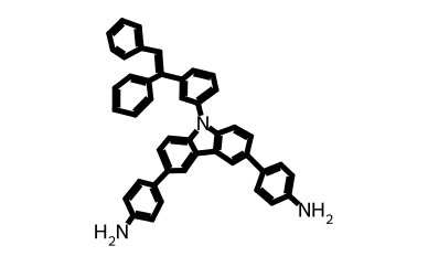 Nc1ccc(-c2ccc3c(c2)c2cc(-c4ccc(N)cc4)ccc2n3-c2cccc(C(=Cc3ccccc3)c3ccccc3)c2)cc1